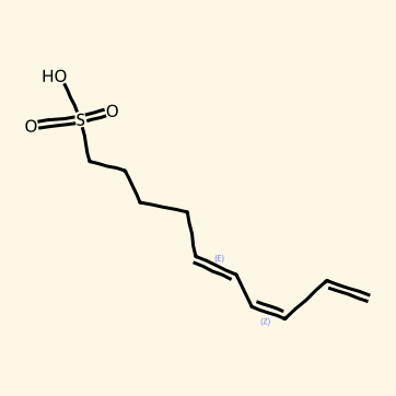 C=C/C=C\C=C\CCCCS(=O)(=O)O